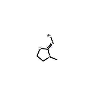 CC(C)/N=C1\OCCN1C